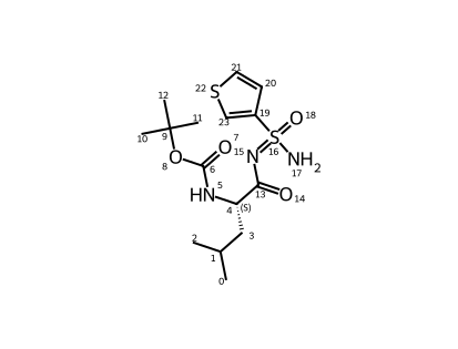 CC(C)C[C@H](NC(=O)OC(C)(C)C)C(=O)N=S(N)(=O)c1ccsc1